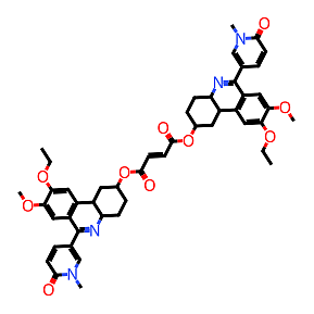 CCOc1cc2c(cc1OC)C(c1ccc(=O)n(C)c1)=NC1CCC(OC(=O)/C=C/C(=O)OC3CCC4N=C(c5ccc(=O)n(C)c5)c5cc(OC)c(OCC)cc5C4C3)CC21